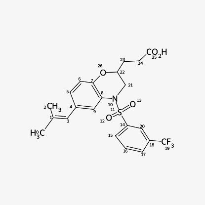 CC(C)=Cc1ccc2c(c1)N(S(=O)(=O)c1cccc(C(F)(F)F)c1)CC(CCC(=O)O)O2